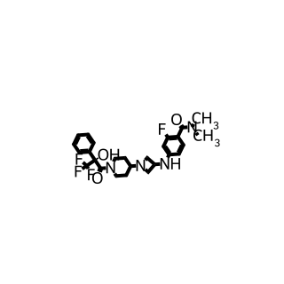 CN(C)C(=O)c1ccc(NC2CN(C3CCN(C(=O)[C@](O)(c4ccccc4)C(F)(F)F)CC3)C2)cc1F